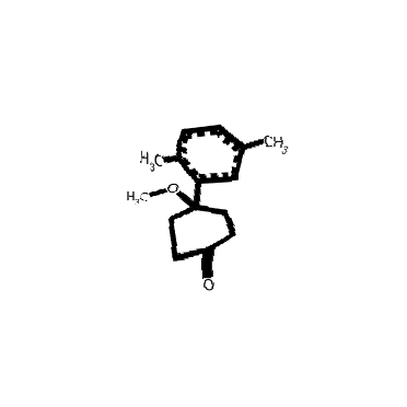 COC1(c2cc(C)ccc2C)CCC(=O)CC1